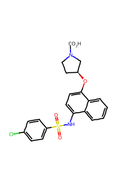 O=C(O)N1CC[C@H](Oc2ccc(NS(=O)(=O)c3ccc(Cl)cc3)c3ccccc23)C1